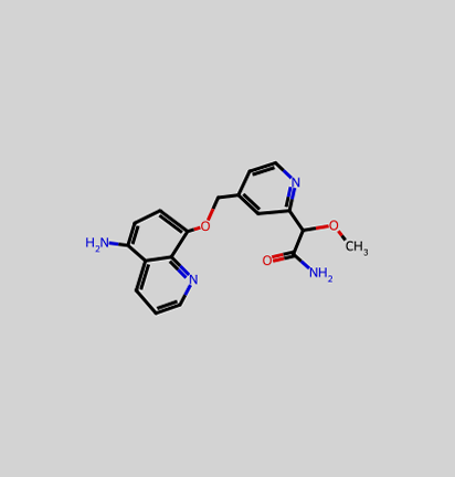 COC(C(N)=O)c1cc(COc2ccc(N)c3cccnc23)ccn1